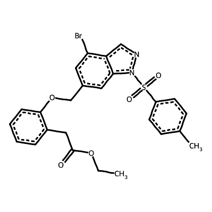 CCOC(=O)Cc1ccccc1OCc1cc(Br)c2cnn(S(=O)(=O)c3ccc(C)cc3)c2c1